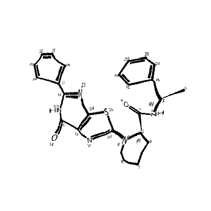 C[C@@H](NC(=O)[C@H]1CCCN1c1nc2c(=O)[nH]c(-c3ccccc3)nc2s1)c1ccccc1